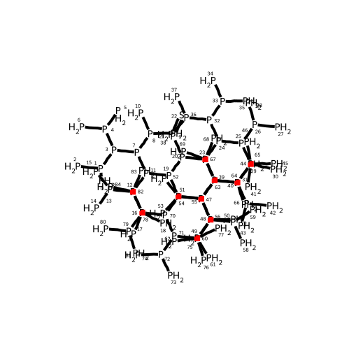 PP(P)P(P(P)P)P(P(P)P)P(P(P(P)P)P(P)P)P(P(P=S)P(P(P(P(P)P)P(P)P)P(P(P)P)P(P)P)P(P(P(P)P)P(P)P)P(P(P)P)P(P)P)P(P(P(P(P)P)P(P)P)P(P(P)P)P(P)P)P(P(P(P)P)P(P)P)P(P(P)P)P(P)P